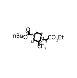 CCCCOC(=O)N1CCN(CC(=O)OCC)C(C(F)(F)F)C1